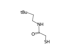 CC(C)(C)CCNC(=O)CS